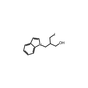 OCC(CI)Cn1ccc2ccccc21